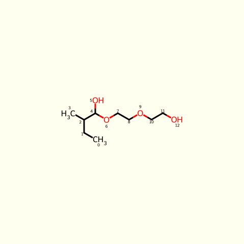 CCC(C)C(O)OCCOCCO